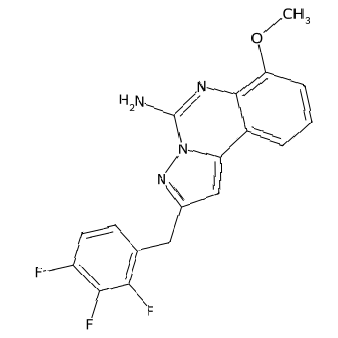 COc1cccc2c1nc(N)n1nc(Cc3ccc(F)c(F)c3F)cc21